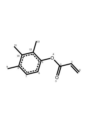 C=CC(=O)Oc1ccc(C)c(C)c1C